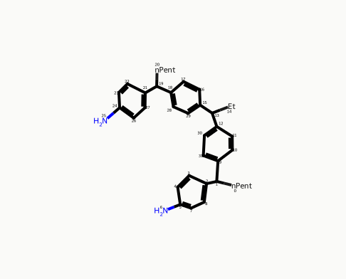 CCCCCC(c1ccc(N)cc1)c1ccc(C(CC)c2ccc(C(CCCCC)c3ccc(N)cc3)cc2)cc1